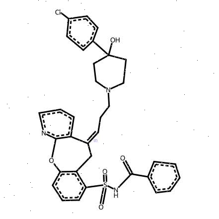 O=C(NS(=O)(=O)c1cccc2c1C/C(=C/CCN1CCC(O)(c3ccc(Cl)cc3)CC1)c1cccnc1O2)c1ccccc1